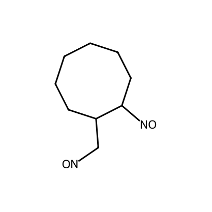 O=NCC1CCCCCCC1N=O